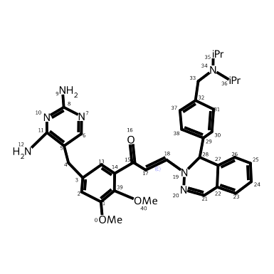 COc1cc(Cc2cnc(N)nc2N)cc(C(=O)/C=C/N2N=Cc3ccccc3C2c2ccc(CN(C(C)C)C(C)C)cc2)c1OC